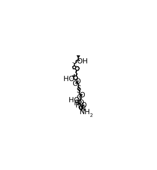 C[C@@H](/C=C/C(O)C1CC1)C1CCC2/C(=C/C=C3/C[C@@H](OC(=O)CCSSCCC(=O)OCC4OC(n5ccc(N)nc5=O)C(F)(F)C4O)C[C@H](O)C3(C)C)CCC[C@@]21C